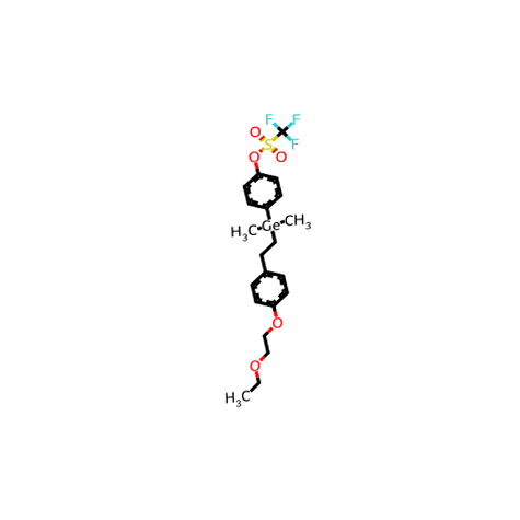 CCOCCOc1ccc(C[CH2][Ge]([CH3])([CH3])[c]2ccc(OS(=O)(=O)C(F)(F)F)cc2)cc1